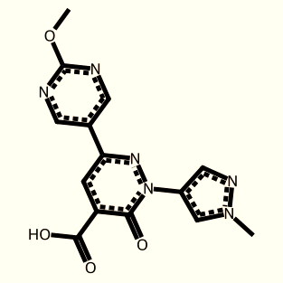 COc1ncc(-c2cc(C(=O)O)c(=O)n(-c3cnn(C)c3)n2)cn1